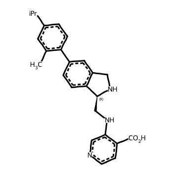 Cc1cc(C(C)C)ccc1-c1ccc2c(c1)CN[C@H]2CNc1cnccc1C(=O)O